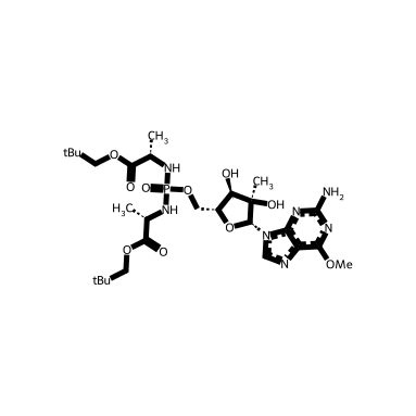 COc1nc(N)nc2c1ncn2[C@@H]1O[C@H](COP(=O)(N[C@@H](C)C(=O)OCC(C)(C)C)N[C@@H](C)C(=O)OCC(C)(C)C)[C@@H](O)[C@@]1(C)O